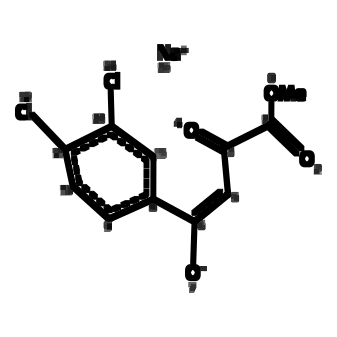 COC(=O)C(=O)/C=C(/[O-])c1ccc(Cl)c(Cl)c1.[Na+]